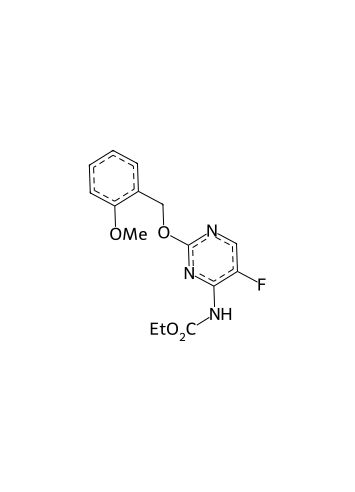 CCOC(=O)Nc1nc(OCc2ccccc2OC)ncc1F